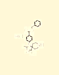 CC1N(C)C(=O)C2(CCNCC2)N1c1ccc(C(=O)OCc2ccccc2)cc1.Cl